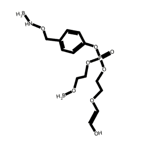 BNOCc1ccc(OP(=O)(OCCOB)OCCO/C=C/O)cc1